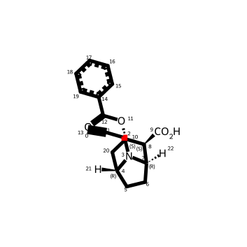 C#CCN1[C@@H]2CC[C@@H]1[C@H](C(=O)O)[C@@H](OC(=O)c1ccccc1)C2